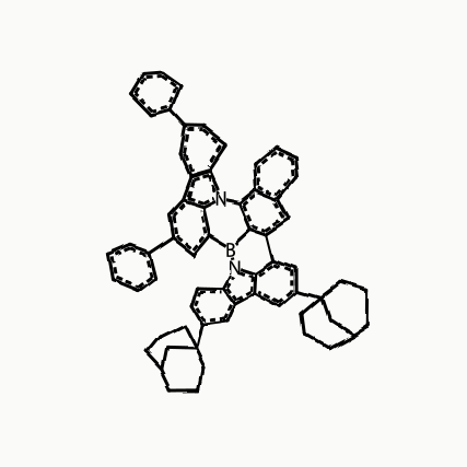 c1ccc(-c2ccc3c(c2)c2cc(-c4ccccc4)cc4c2n3-c2c3c(cc5ccccc25)-c2cc(C56CCCC(CCC5)C6)cc5c6cc(C78CCCC(CCC7)C8)ccc6n(c25)B34)cc1